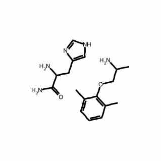 Cc1cccc(C)c1OCC(C)N.NC(=O)C(N)Cc1c[nH]cn1